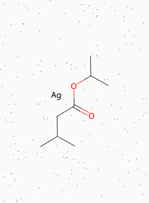 CC(C)CC(=O)OC(C)C.[Ag]